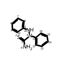 NC(=S)N(Nc1ccccc1)c1ccccc1